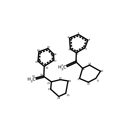 C=C(c1ccccc1)C1CCCCC1.C=C(c1ccccc1)C1CCCCC1